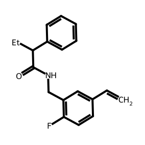 C=Cc1ccc(F)c(CNC(=O)C(CC)c2ccccc2)c1